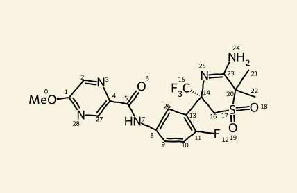 COc1cnc(C(=O)Nc2ccc(F)c([C@]3(C(F)(F)F)CS(=O)(=O)C(C)(C)C(N)=N3)c2)cn1